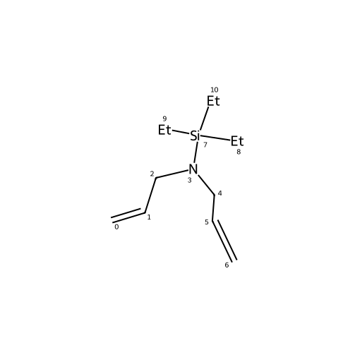 C=CCN(CC=C)[Si](CC)(CC)CC